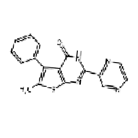 Cc1sc2nc(-c3cnccn3)[nH]c(=O)c2c1-c1ccccc1